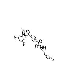 CCCCNC(=O)C(=O)N1CCN(C(=O)c2cc3c(F)cc(F)cc3[nH]2)CC1